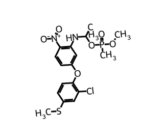 COP(C)(=O)OC(C)Nc1cc(Oc2ccc(SC)cc2Cl)ccc1[N+](=O)[O-]